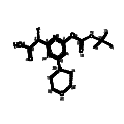 CC(C(=O)O)c1nc(OC(=O)OC(C)(C)C)cc(N2CCOCC2)n1